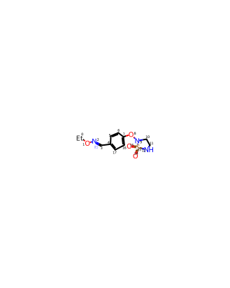 CCO/N=C/c1ccc(ON2CCNS2(=O)=O)cc1